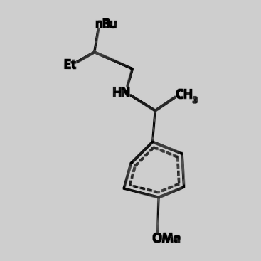 CCCCC(CC)CNC(C)c1ccc(OC)cc1